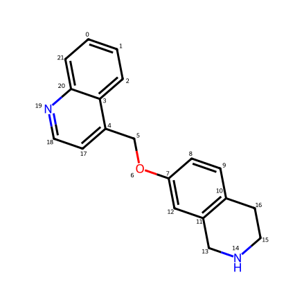 c1ccc2c(COc3ccc4c(c3)CNCC4)ccnc2c1